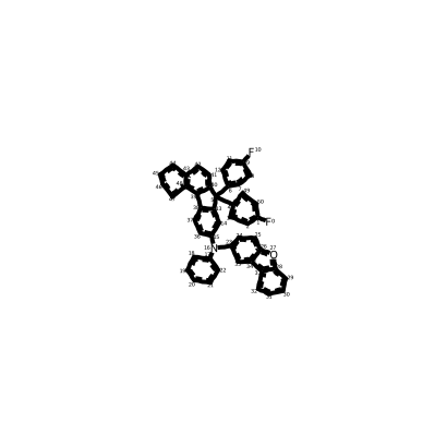 Fc1ccc(C2(c3ccc(F)cc3)c3cc(N(c4ccccc4)c4ccc5oc6ccccc6c5c4)ccc3-c3c2ccc2ccccc32)cc1